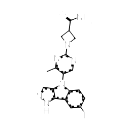 Cc1nc(N2CC(C(N)=O)C2)ncc1-n1c2ccc(F)cc2c2[nH]ncc21